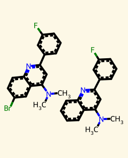 CN(C)c1cc(-c2cccc(F)c2)nc2ccc(Br)cc12.CN(C)c1cc(-c2cccc(F)c2)nc2ccccc12